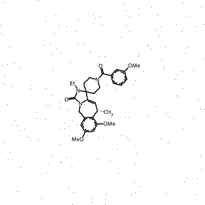 CCN1C(=O)N2Cc3cc(OC)cc(OC)c3[C@@H](C)C=C2C12CCN(C(=O)c1cccc(OC)c1)CC2